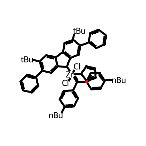 CCCCc1ccc([C](c2ccc(CCCC)cc2)=[Zr]([Cl])([Cl])([CH]2C=CC=C2)[CH]2c3cc(-c4ccccc4)c(C(C)(C)C)cc3-c3cc(C(C)(C)C)c(-c4ccccc4)cc32)cc1